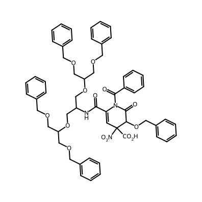 O=C(NC(COC(COCc1ccccc1)COCc1ccccc1)COC(COCc1ccccc1)COCc1ccccc1)C1=CC(C(=O)O)([N+](=O)[O-])C(OCc2ccccc2)C(=O)N1C(=O)c1ccccc1